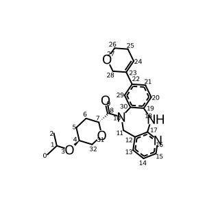 CC(C)O[C@H]1CC[C@H](C(=O)N2Cc3cccnc3Nc3ccc(C4=CCCOC4)cc32)OC1